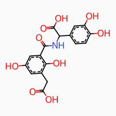 O=C(O)Cc1cc(O)cc(C(=O)NC(C(=O)O)c2ccc(O)c(O)c2)c1O